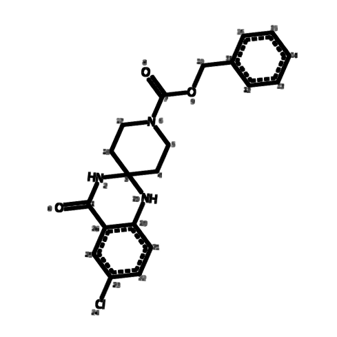 O=C1NC2(CCN(C(=O)OCc3ccccc3)CC2)Nc2ccc(Cl)cc21